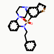 O=S(=O)(c1ccc2ccsc2c1)N(CCc1ccccc1)c1ccccc1N1CCNCC1